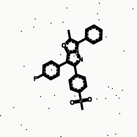 Cc1oc2c(-c3ccc(F)cc3)c(-c3ccc(S(C)(=O)=O)cc3)nn2c1-c1ccccc1